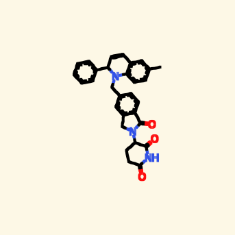 Cc1ccc2c(c1)C=CC(c1ccccc1)N2Cc1ccc2c(c1)CN(C1CCC(=O)NC1=O)C2=O